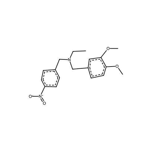 CCN(Cc1ccc([N+](=O)[O-])cc1)Cc1ccc(OC)c(OC)c1